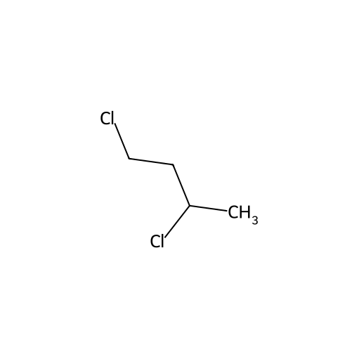 CC(Cl)CCCl